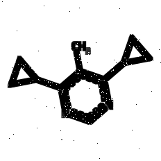 Cc1c(C2CC2)ncnc1C1CC1